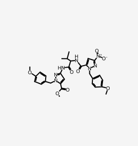 COC(=O)c1cc(NC(=O)C(NC(=O)c2cc([N+](=O)[O-])nn2Cc2ccc(OC)cc2)C(C)C)nn1Cc1ccc(OC)cc1